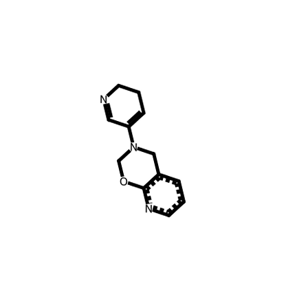 C1=NCCC=C1N1COc2ncccc2C1